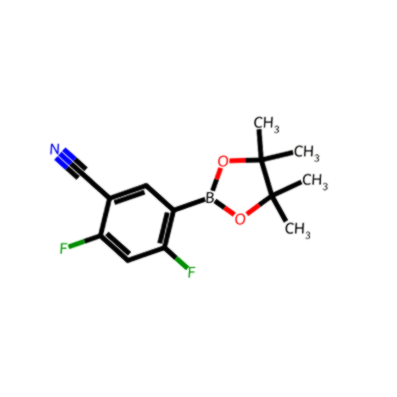 CC1(C)OB(c2cc(C#N)c(F)cc2F)OC1(C)C